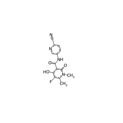 Cc1c(F)c(O)c(C(=O)Nc2ccc(C#N)nc2)c(=O)n1C